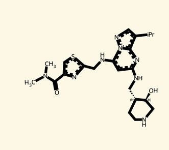 CC(C)c1cnn2c(NCc3nc(C(=O)N(C)C)cs3)cc(NC[C@H]3CCNC[C@@H]3O)nc12